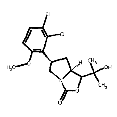 COc1ccc(Cl)c(Cl)c1[C@H]1C[C@H]2C(C(C)(C)O)OC(=O)N2C1